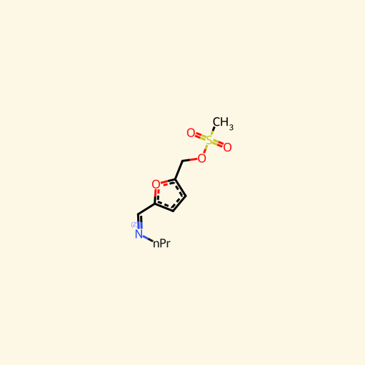 CCC/N=C\c1ccc(COS(C)(=O)=O)o1